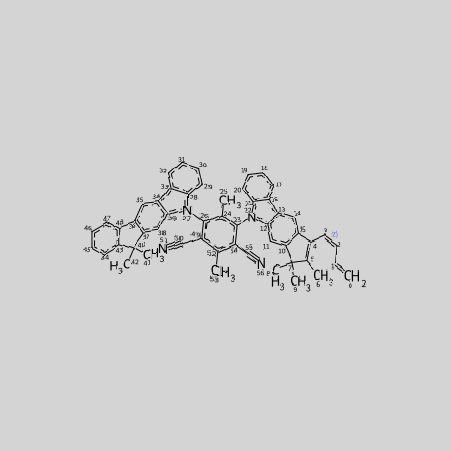 C=C/C=C\C1=C(C)C(C)(C)c2cc3c(cc21)c1ccccc1n3-c1c(C)c(-n2c3ccccc3c3cc4c(cc32)C(C)(C)c2ccccc2-4)c(C#N)c(C)c1C#N